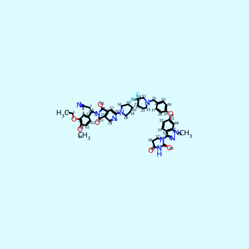 CCOc1cc([C@@H](CC#N)N2C(=O)c3cnc(N4CCC([C@H]5CCN(Cc6ccc(Oc7ccc8c(N9CCC(=O)NC9=O)nn(C)c8c7)cc6)CC5(F)F)CC4)cc3C2=O)ccc1OC